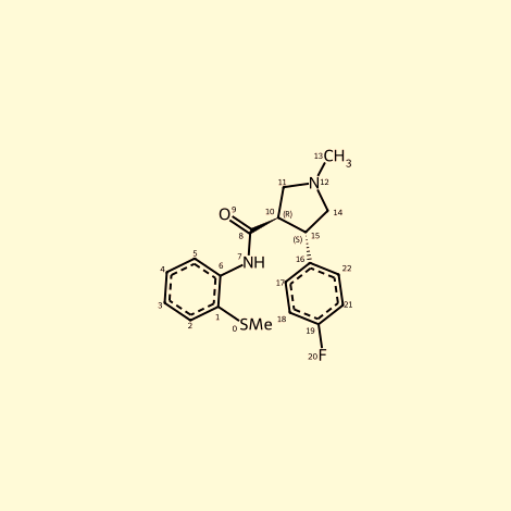 CSc1ccccc1NC(=O)[C@H]1CN(C)C[C@@H]1c1ccc(F)cc1